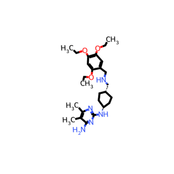 CCOc1cc(OCC)c(OCC)cc1CNC[C@H]1CC[C@@H](Nc2nc(C)c(C)c(N)n2)CC1